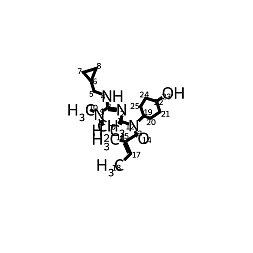 C=C(/N=C(/NCC1CC1)N(C)C)N(C(=O)/C(C)=C/C)C1CCC(O)CC1